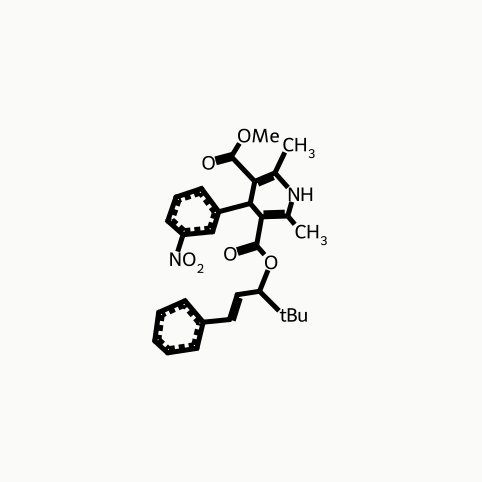 COC(=O)C1=C(C)NC(C)=C(C(=O)OC(C=Cc2ccccc2)C(C)(C)C)C1c1cccc([N+](=O)[O-])c1